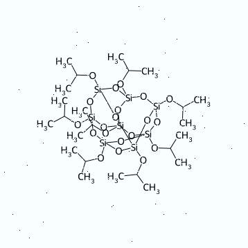 CC(C)O[Si]12O[Si]3(OC(C)C)O[Si]4(OC(C)C)O[Si](OC(C)C)(O1)O[Si]1(OC(C)C)O[Si](OC(C)C)(O2)O[Si](OC(C)C)(O3)O[Si](OC(C)C)(O4)O1